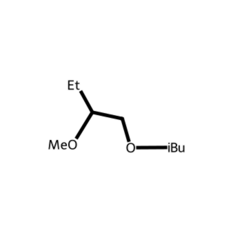 [CH2]C(CC)OCC(CC)OC